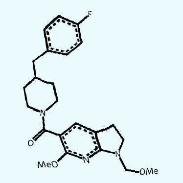 COCN1CCc2cc(C(=O)N3CCC(Cc4ccc(F)cc4)CC3)c(OC)nc21